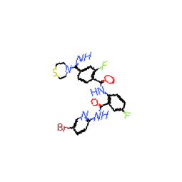 N=C(c1ccc(C(=O)Nc2ccc(F)cc2C(=O)Nc2ccc(Br)cn2)c(F)c1)N1CCSCC1